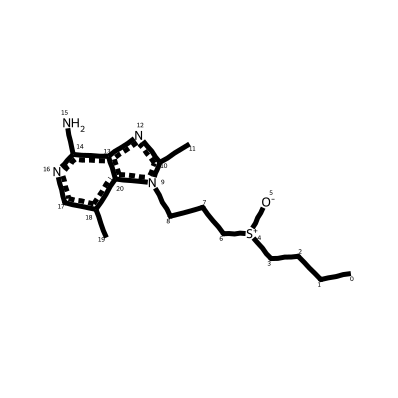 CCCC[S+]([O-])CCCn1c(C)nc2c(N)ncc(C)c21